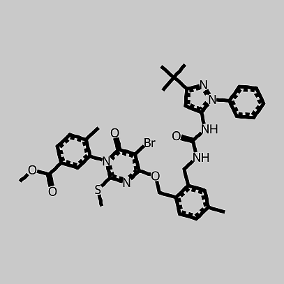 COC(=O)c1ccc(C)c(-n2c(SC)nc(OCc3ccc(C)cc3CNC(=O)Nc3cc(C(C)(C)C)nn3-c3ccccc3)c(Br)c2=O)c1